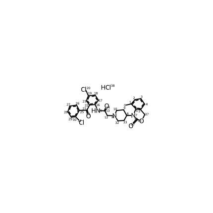 Cc1cccc2c1N(C1CCN(CC(=O)Nc3ccc(Cl)cc3C(=O)c3ccccc3Cl)CC1)C(=O)OC2.Cl